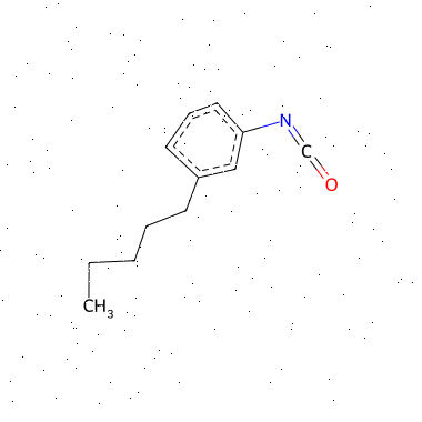 CCCCCc1cccc(N=C=O)c1